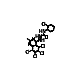 Cc1nc(NNC(=O)Nc2ccccc2Cl)c2c(Cl)c(Cl)c(Cl)c(Cl)c2n1